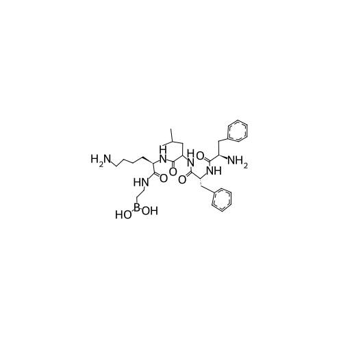 CC(C)CC(NC(=O)[C@@H](Cc1ccccc1)NC(=O)[C@H](N)Cc1ccccc1)C(=O)N[C@H](CCCCN)C(=O)NCCB(O)O